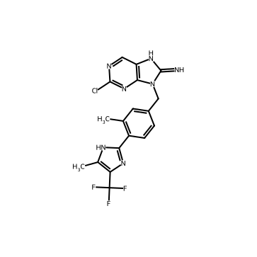 Cc1cc(Cn2c(=N)[nH]c3cnc(Cl)nc32)ccc1-c1nc(C(F)(F)F)c(C)[nH]1